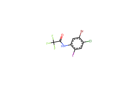 O=C(Nc1cc(Br)c(Cl)cc1I)C(F)(F)F